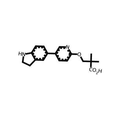 CC(C)(COc1ccc(-c2ccc3c(c2)CCN3)cn1)C(=O)O